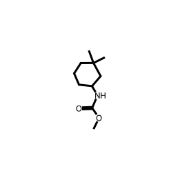 COC(=O)NC1CCCC(C)(C)C1